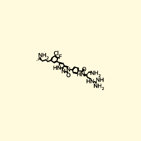 C[C@H](N)CCCc1cc(Cl)c(F)c(-c2cc3cn(-c4ccc(C(=O)N[C@@H](CN)CCNC(=N)N)cc4)c(=O)nc3[nH]2)c1